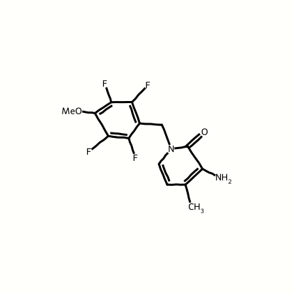 COc1c(F)c(F)c(Cn2ccc(C)c(N)c2=O)c(F)c1F